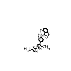 Cc1cnc(-n2cc(-c3ccc(NC(=O)c4c(F)cccc4F)nc3)c(C)n2)s1